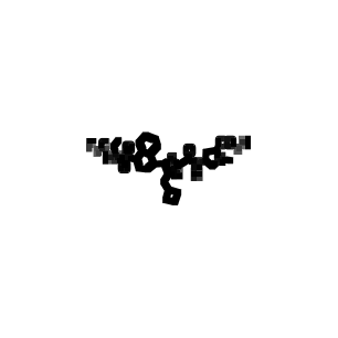 C[C@H](NS(=O)(=O)c1ccc(-c2sc(C(=O)N[C@H]3C[C@@H](C(=O)O)N(C)C3)nc2CC2CCC2)c2ccccc12)C(F)(F)F